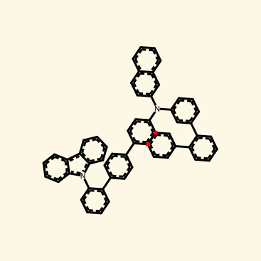 c1ccc(-c2ccccc2-c2cccc(N(c3ccc(-c4ccc(-c5ccccc5-n5c6ccccc6c6ccccc65)cc4)cc3)c3ccc4ccccc4c3)c2)cc1